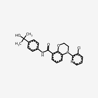 CC(C)(O)c1ccc(NC(=O)c2cccc3c2OCCN3c2ncccc2Cl)cc1